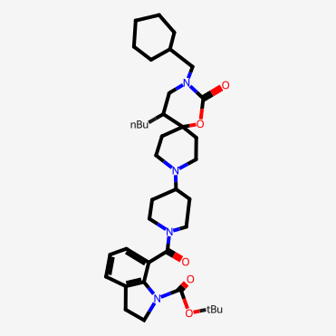 CCCCC1CN(CC2CCCCC2)C(=O)OC12CCN(C1CCN(C(=O)c3cccc4c3N(C(=O)OC(C)(C)C)CC4)CC1)CC2